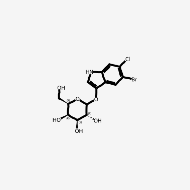 OC[C@H]1OC(Oc2c[nH]c3cc(Cl)c(Br)cc23)[C@H](O)[C@@H](O)[C@H]1O